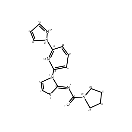 O=C(/N=c1\sccn1-c1cccc(-n2cccn2)n1)N1CCCC1